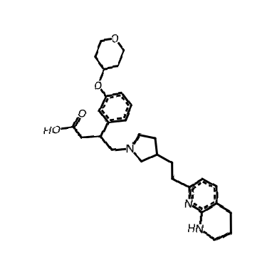 O=C(O)CC(CN1CCC(CCc2ccc3c(n2)NCCC3)C1)c1cccc(OC2CCOCC2)c1